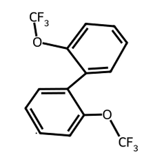 FC(F)(F)Oc1c[c]ccc1-c1ccccc1OC(F)(F)F